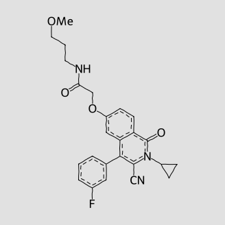 COCCCNC(=O)COc1ccc2c(=O)n(C3CC3)c(C#N)c(-c3cccc(F)c3)c2c1